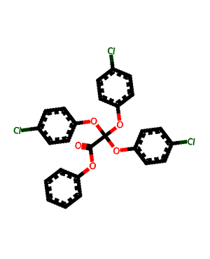 O=C(Oc1ccccc1)C(Oc1ccc(Cl)cc1)(Oc1ccc(Cl)cc1)Oc1ccc(Cl)cc1